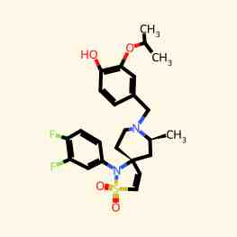 CC(C)Oc1cc(CN2CC[C@]3(C=CS(=O)(=O)N3c3ccc(F)c(F)c3)C[C@@H]2C)ccc1O